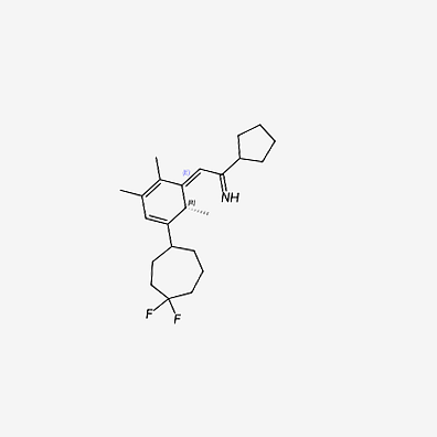 CC1=C(C)/C(=C/C(=N)C2CCCC2)[C@H](C)C(C2CCCC(F)(F)CC2)=C1